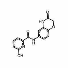 O=C1COc2ccc(NC(=O)c3cccc(O)n3)cc2N1